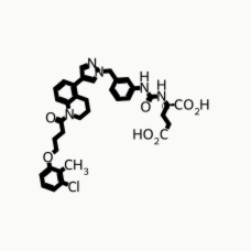 Cc1c(Cl)cccc1OCCCC(=O)N1CCCc2c(-c3cnn(Cc4cccc(NC(=O)N[C@H](CCC(=O)O)C(=O)O)c4)c3)cccc21